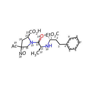 CCOC(=O)[C@H](CCc1ccccc1)N[C@@H](C)C(=O)N1CC(N=O)(C(C)=O)C[C@H]1C(=O)O